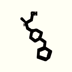 C[C@@H](CO)CN1CCN(Cc2ccccc2)CC1